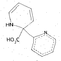 O=C(O)C1(c2ccccn2)C=CC=CN1